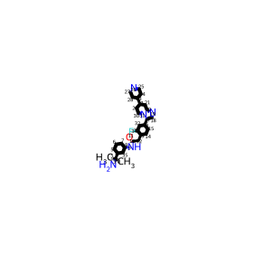 CC(C)(N)c1cccc(NC(=O)Cc2ccc(-c3cnc4cc(-c5ccncc5)ccn34)cc2F)c1